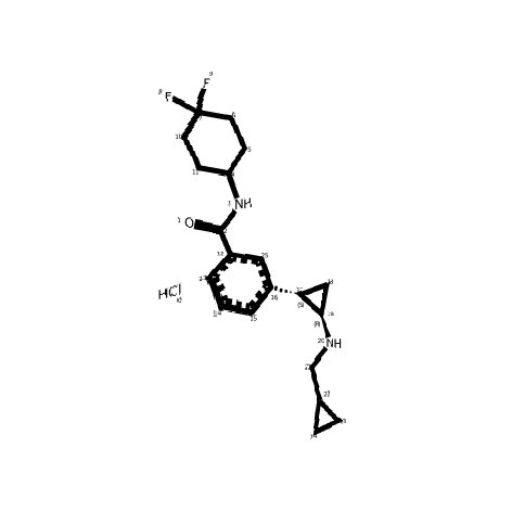 Cl.O=C(NC1CCC(F)(F)CC1)c1cccc([C@@H]2C[C@H]2NCC2CC2)c1